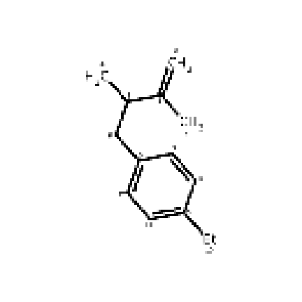 C=C(C)C(C)Cc1ccc(CC)cc1